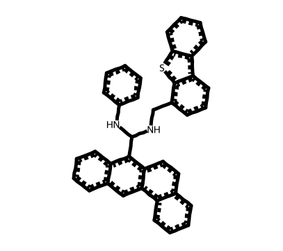 c1ccc(NC(NCc2cccc3c2sc2ccccc23)c2c3ccccc3cc3c2ccc2ccccc23)cc1